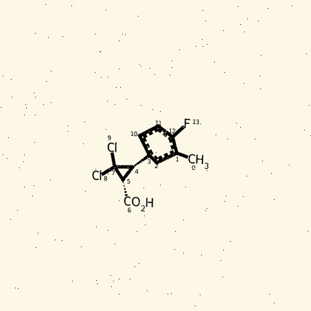 Cc1cc([C@H]2[C@H](C(=O)O)C2(Cl)Cl)ccc1F